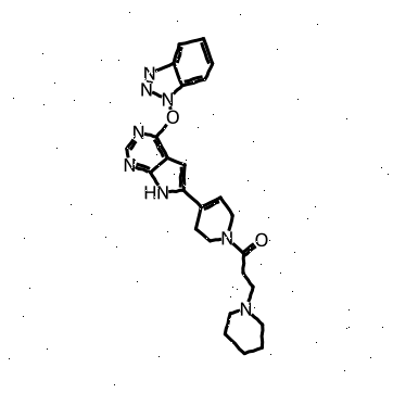 O=C(CCN1CCCCC1)N1CC=C(c2cc3c(On4nnc5ccccc54)ncnc3[nH]2)CC1